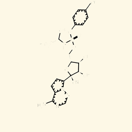 CCOC(=O)[C@H](C)NP(=O)(OC[C@H]1O[C@@](C#N)(c2ccc3c(N)ncnn23)[C@H](O)[C@@H]1O)Oc1ccc(C(C)C)cc1